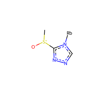 C[S+]([O-])c1nnc[n]1[Rb]